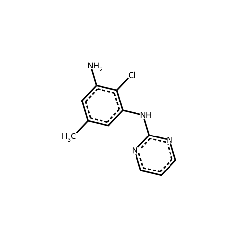 Cc1cc(N)c(Cl)c(Nc2ncccn2)c1